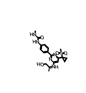 CNC(=O)Nc1ccc(-c2nc(N[C@@H](C)CO)cc(C3(S(C)(=O)=O)CC3)n2)cc1